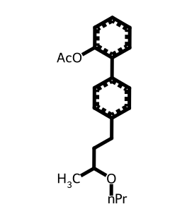 CCCOC(C)CCc1ccc(-c2ccccc2OC(C)=O)cc1